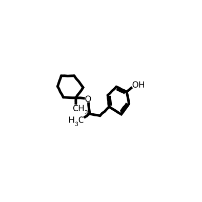 CC(Cc1ccc(O)cc1)OC1(C)CCCCC1